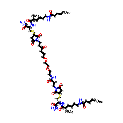 CCCCCCCCCCCCCC(=O)NCCCC[C@H](NC)C(=O)N[C@@H](CSC1CC(=O)N(CCC(=O)CCCOCCOCCNC(=O)CCN2C(=O)CC(SC[C@H](NC(=O)[C@H](CCCCNC(=O)CCCCCCCCCCCCC)NC)C(N)=O)C2=O)C1=O)C(N)=O